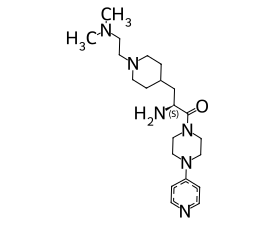 CN(C)CCN1CCC(C[C@H](N)C(=O)N2CCN(c3ccncc3)CC2)CC1